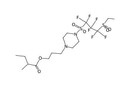 CCC(C)C(=O)OCCCN1CCN(S(=O)(=O)C(F)(F)C(F)(F)C(F)(F)S(=O)(=O)CC)CC1